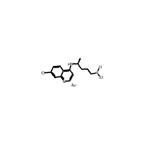 CCN(CC)CCCC(C)Nc1ccnc2cc(Cl)ccc12.[Au]